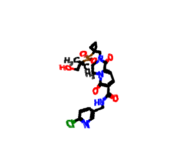 CC(C)(CO)S(=O)(=O)C1(CN2CCn3c(ccc(C(=O)NCc4ccc(Cl)nc4)c3=O)C2=O)CC1